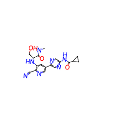 CN(C)C(=O)[C@H](CO)Nc1cc(-c2cnc(NC(=O)C3CC3)cn2)cnc1C#N